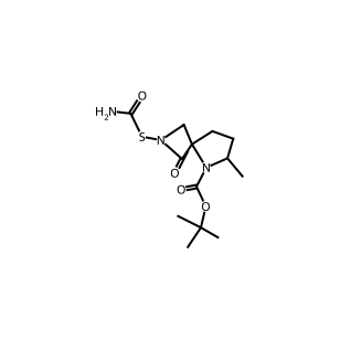 CC1CCC2(CN(SC(N)=O)C2=O)N1C(=O)OC(C)(C)C